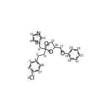 Clc1ccc(CCC2(Cn3ccnc3)OCC(COc3ccccc3)O2)cc1